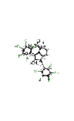 CC1C(=Bc2c(F)c(F)c(F)c(F)c2F)c2cccc(=[Si](C)C)c2=C1c1c(F)c(F)c(F)c(F)c1F